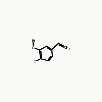 C=[C]c1ccc(Cl)c(OCC)c1